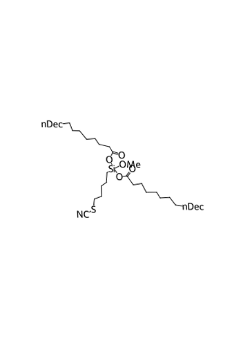 CCCCCCCCCCCCCCCCCC(=O)O[Si](CCCCCSC#N)(OC)OC(=O)CCCCCCCCCCCCCCCCC